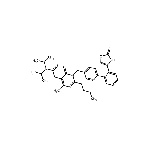 CCCCc1nc(C)c(CC(=S)N(C(C)C)C(C)C)c(=O)n1Cc1ccc(-c2ccccc2-c2noc(=O)[nH]2)cc1